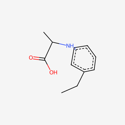 CC(N)C(=O)O.CCc1ccccc1